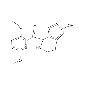 COc1ccc(OC)c(C(=O)C2NCCc3cc(O)ccc32)c1